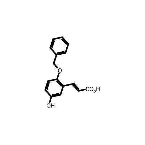 O=C(O)/C=C/c1cc(O)ccc1OCc1ccccc1